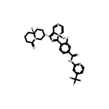 N[N+]12C=CN=CC1=C([C@H]1CC[C@H]3CCCC(=O)N3C1)N=C2c1ccc(C(=O)Nc2cc(C(F)(F)F)ccn2)cc1F